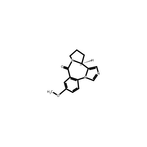 COc1ccc2c(c1)C(=O)N1CCC[C@H]1c1cncn1-2